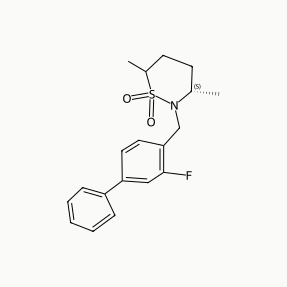 CC1CC[C@H](C)N(Cc2ccc(-c3ccccc3)cc2F)S1(=O)=O